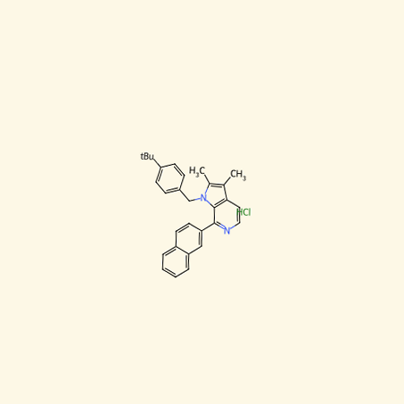 Cc1c(C)n(Cc2ccc(C(C)(C)C)cc2)c2c(-c3ccc4ccccc4c3)nccc12.Cl